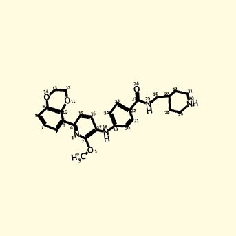 COc1nc(-c2cccc3c2OCCO3)ccc1Nc1ccc(C(=O)NCC2CCNCC2)cc1